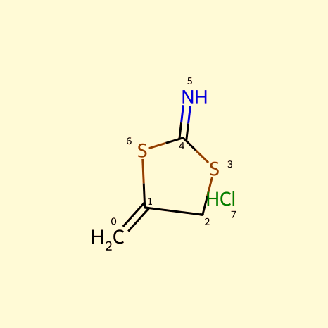 C=C1CSC(=N)S1.Cl